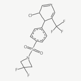 O=S(=O)(c1ccc(C2C(C(F)(F)F)=C[C]=CC2Cl)cc1)N1CC(F)(F)C1